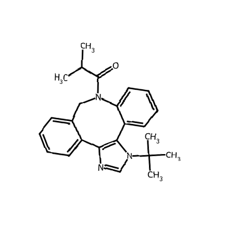 CC(C)C(=O)N1Cc2ccccc2-c2ncn(C(C)(C)C)c2-c2ccccc21